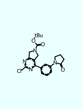 CC(C)(C)OC(=O)N1Cc2nc(Cl)nc(-c3cccc(N4CCCC4=O)c3)c2C1